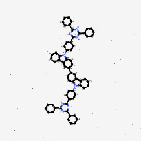 c1ccc(-c2nc(-c3ccccc3)nc(-c3ccc(-n4c5ccccc5c5cc(-c6ccc7c(c6)c6ccccc6n7-c6ccc(-c7nc(-c8ccccc8)nc(-c8ccccc8)n7)cc6)ccc54)cc3)n2)cc1